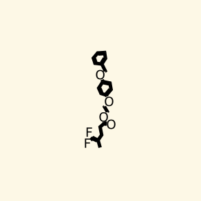 CC(CCC(=O)OCCOc1ccc(OCc2ccccc2)cc1)=C(F)F